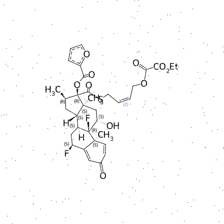 CCOC(=O)C(=O)OC/C=C\CSC(=O)[C@@]1(OC(=O)c2ccco2)[C@H](C)C[C@H]2[C@@H]3C[C@H](F)C4=CC(=O)C=C[C@]4(C)[C@@]3(F)[C@@H](O)C[C@@]21C